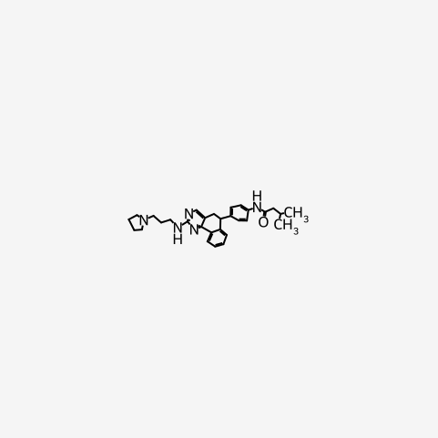 CC(C)CC(=O)Nc1ccc(C2Cc3cnc(NCCCN4CCCC4)nc3-c3ccccc32)cc1